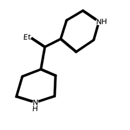 CCC(C1CCNCC1)C1CCNCC1